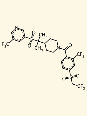 CC(C)(C1CCN(C(=O)c2ccc(S(=O)(=O)CC(F)(F)F)cc2C(F)(F)F)CC1)S(=O)(=O)c1cncc(C(F)(F)F)c1